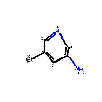 CCc1cncc(N)c1